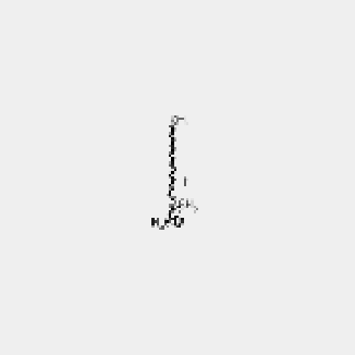 CCCCCCCCCCCCCCCCSCC(C[N+]1(C)CCCC1)OC.[I-]